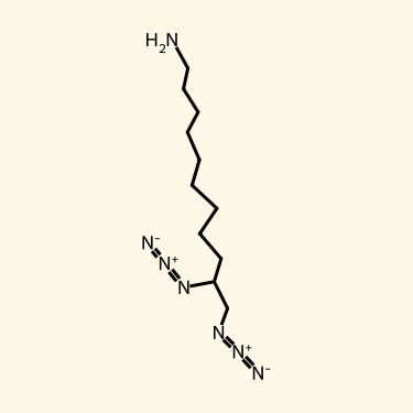 [N-]=[N+]=NCC(CCCCCCCCCN)N=[N+]=[N-]